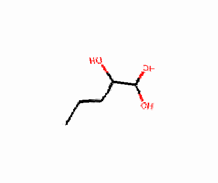 [CH2]CCC(O)[C](O)O